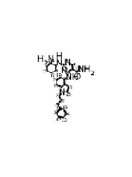 NC(=O)c1cnc(N[C@@H]2CCCC[C@@H]2N)nc1Nc1cccc2c1ccn2CCCc1ccccc1